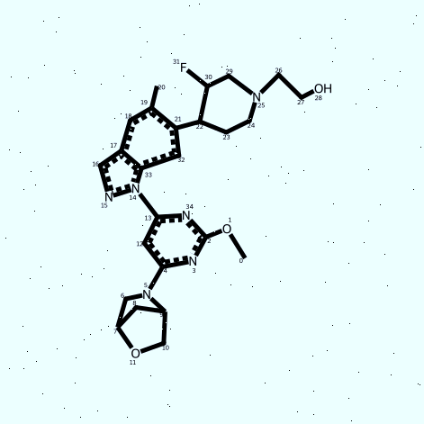 COc1nc(N2CC3CC2CO3)cc(-n2ncc3cc(C)c(C4CCN(CCO)CC4F)cc32)n1